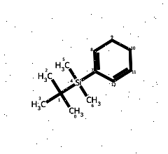 CC(C)(C)[Si](C)(C)C1=CC[C]C=C1